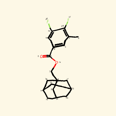 Cc1cc(C(=O)OCC23CC4CC(CC(C4)C2)C3)cc(F)c1F